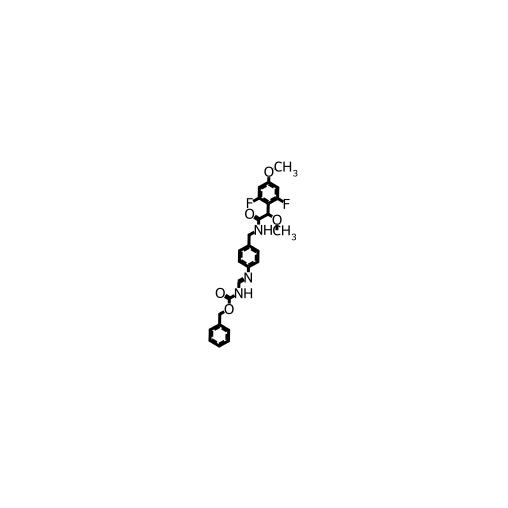 COc1cc(F)c(C(OC)C(=O)NCc2ccc(/N=C/NC(=O)OCc3ccccc3)cc2)c(F)c1